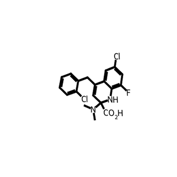 CN(C)C1(C(=O)O)C=C(Cc2ccccc2Cl)c2cc(Cl)cc(F)c2N1